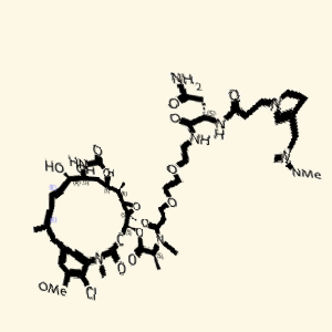 CNN(C)Cc1ccn(CCC(=O)N[C@@H](CC(N)=O)C(=O)NCCOCCOCCC(=O)N(C)[C@@H](C)C(=O)O[C@H]2CC(=O)N(C)c3cc(cc(OC)c3Cl)C/C(C)=C/C=C/[C@@H](O)[C@@]3(O)C[C@H](OC(=O)N3)[C@@H](C)C3O[C@]32C)c1